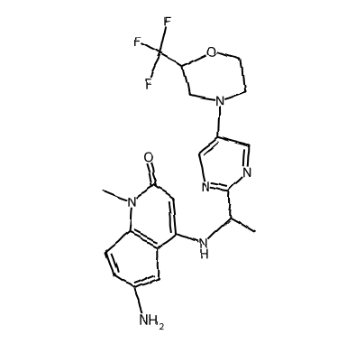 CC(Nc1cc(=O)n(C)c2ccc(N)cc12)c1ncc(N2CCOC(C(F)(F)F)C2)cn1